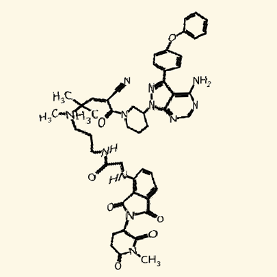 CN1C(=O)CCC(N2C(=O)c3cccc(NCC(=O)NCCCN(C)C(C)(C)C=C(C#N)C(=O)N4CCCC(n5nc(-c6ccc(Oc7ccccc7)cc6)c6c(N)ncnc65)C4)c3C2=O)C1=O